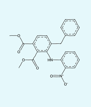 COC(=O)c1ccc(Cc2ccccc2)c(Nc2ccccc2[N+](=O)[O-])c1C(=O)OC